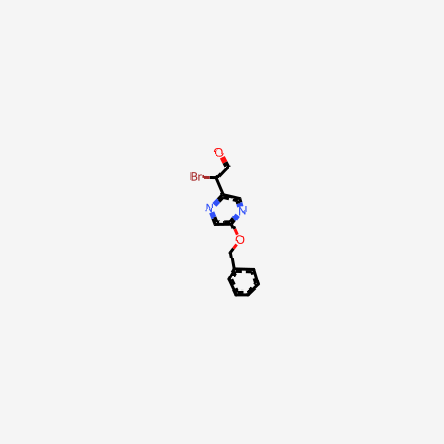 O=CC(Br)c1cnc(OCc2ccccc2)cn1